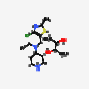 Cc1nc(Cl)c(CN(CC(C)C)C2CCNCC2)s1.O=C(O)C(O)C(O)C(=O)O